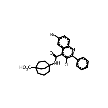 O=C(NC12CCCC(C(=O)O)(CC1)CC2)c1c(Cl)c(-c2ccccc2)nc2ccc(Br)cc12